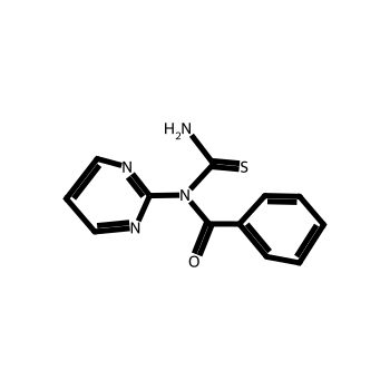 NC(=S)N(C(=O)c1ccccc1)c1ncccn1